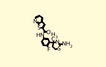 CC1(c2cc(NC(=O)c3cc4cccnc4s3)ccc2F)CCSC(N)=N1